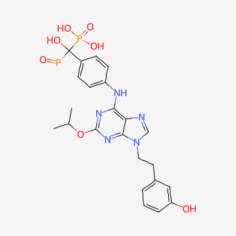 CC(C)Oc1nc(Nc2ccc(C(O)(P=O)P(=O)(O)O)cc2)c2ncn(CCc3cccc(O)c3)c2n1